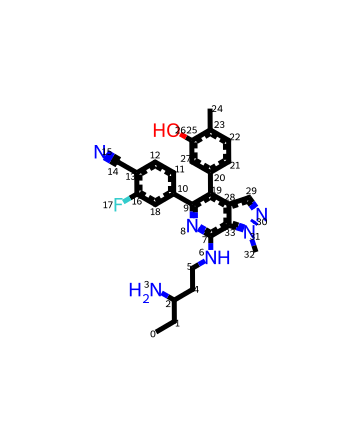 CCC(N)CCNc1nc(-c2ccc(C#N)c(F)c2)c(-c2ccc(C)c(O)c2)c2cnn(C)c12